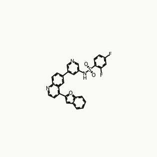 O=S(=O)(Nc1cncc(-c2ccc3nccc(-c4cc5ccccc5o4)c3c2)c1)c1ccc(F)cc1F